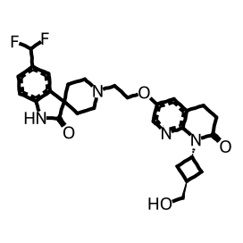 O=C1CCc2cc(OCCN3CCC4(CC3)C(=O)Nc3ccc(C(F)F)cc34)cnc2N1[C@H]1C[C@H](CO)C1